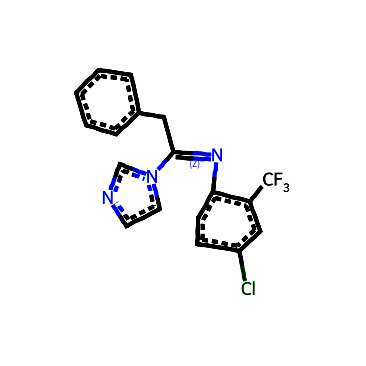 FC(F)(F)c1cc(Cl)ccc1/N=C(/Cc1ccccc1)n1ccnc1